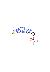 CC(C)NC(=O)OC1CCC(c2cc(Nc3nccn4nc(CS(C)=N)cc34)n[nH]2)C1